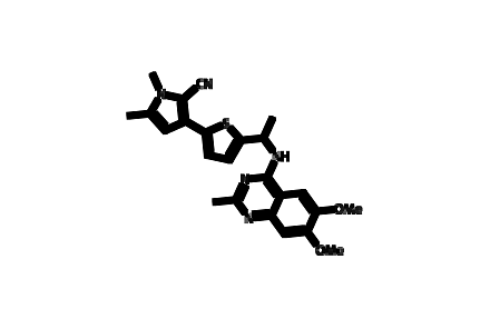 COc1cc2nc(C)nc(NC(C)c3ccc(-c4cc(C)n(C)c4C#N)s3)c2cc1OC